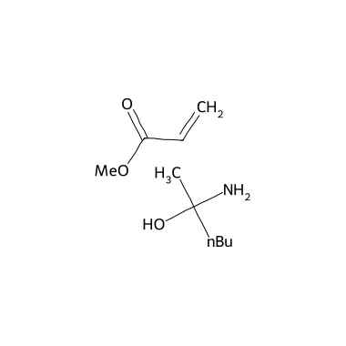 C=CC(=O)OC.CCCCC(C)(N)O